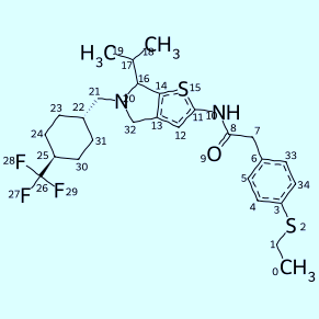 CCSc1ccc(CC(=O)Nc2cc3c(s2)C(C(C)C)N(C[C@H]2CC[C@H](C(F)(F)F)CC2)C3)cc1